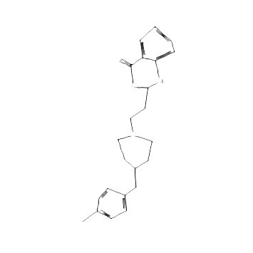 O=C1NC(CCN2CCC(Cc3ccc(F)cc3)CC2)Nc2ccccc21